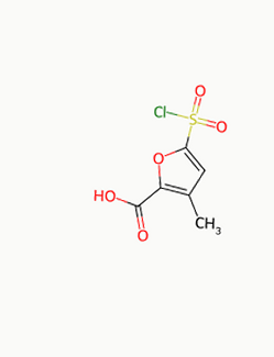 Cc1cc(S(=O)(=O)Cl)oc1C(=O)O